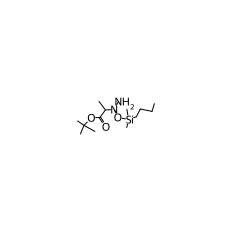 CCCC[Si](C)(C)ON(N)C(C)C(=O)OC(C)(C)C